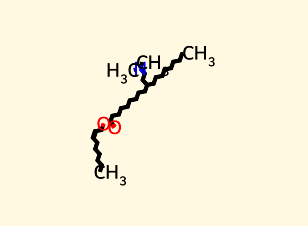 CCCCCC/C=C\COC(=O)CCCCCCCCC(CCCCCCCCC)CCN(C)C